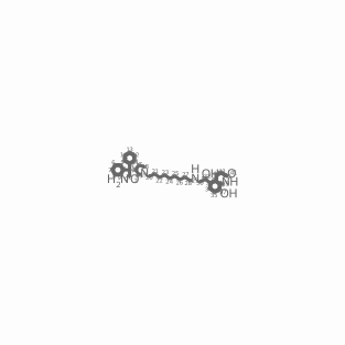 NC(=O)C(c1ccccc1)(c1ccccc1)[C@@H]1CCN(CCCCCCCCCNC[C@H](O)c2ccc(O)c3[nH]c(=O)ccc23)C1